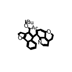 CC(=O)[C@@H](OC(C)(C)C)c1c2c(c3ccccc3c1-c1ccc3c4c(ccnc14)CCO3)OCC2